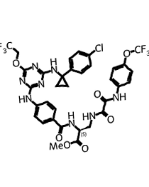 COC(=O)[C@H](CNC(=O)C(=O)Nc1ccc(OC(F)(F)F)cc1)NC(=O)c1ccc(Nc2nc(NC3(c4ccc(Cl)cc4)CC3)nc(OCC(F)(F)F)n2)cc1